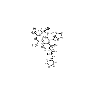 Cc1nc(C)c(C(OC(C)(C)C)C(=O)O)c(N2CCC3(CCCC3)CC2)c1-c1ccc(C(=O)NCc2ccccc2)c(F)c1